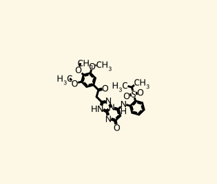 COc1cc(C(=O)Cc2nn3c(Nc4ccccc4S(=O)(=O)C(C)C)cc(=O)nc3[nH]2)cc(OC)c1OC